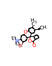 C#Cc1cc2c(cc1C)Oc1cc(N(CC)CC)c(Br)cc1C21OC(=O)c2ccccc21